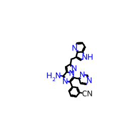 N#Cc1cccc(-c2nc(N)c3cc(Cc4c[nH]c5cccnc45)nn3c2-c2ccncn2)c1